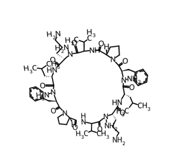 CC(C)C[C@@H]1NC(=O)[C@H](CCCN)N(N)C(=O)C(C(C)C)NC(=O)[C@@H]2CCCN2C(=O)[C@@H](Cc2ccccc2)N(N)C(=O)[C@H](CC(C)C)NC(=O)[C@H](CCCN)N(N)C(=O)C(C(C)C)NC(=O)[C@@H]2CCCN2C(=O)[C@@H](Cc2ccccc2)N(N)C1=O